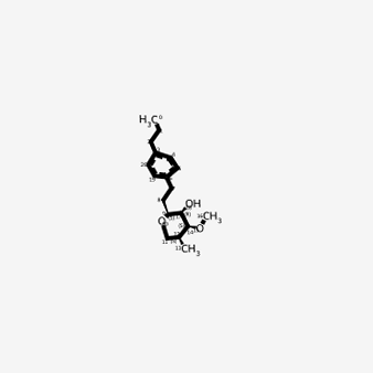 CCCc1ccc(CC[C@@H]2OC[C@H](C)[C@H](OC)[C@@H]2O)cc1